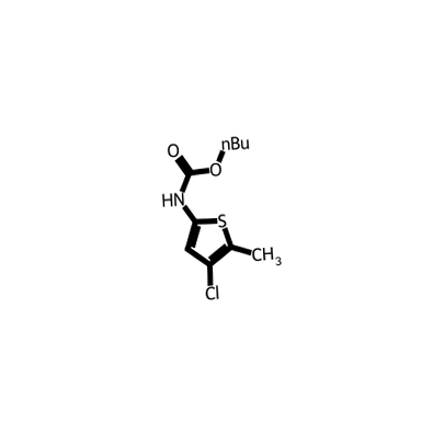 CCCCOC(=O)Nc1cc(Cl)c(C)s1